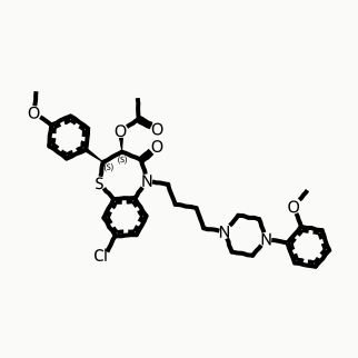 COc1ccc([C@@H]2Sc3cc(Cl)ccc3N(CCCCN3CCN(c4ccccc4OC)CC3)C(=O)[C@@H]2OC(C)=O)cc1